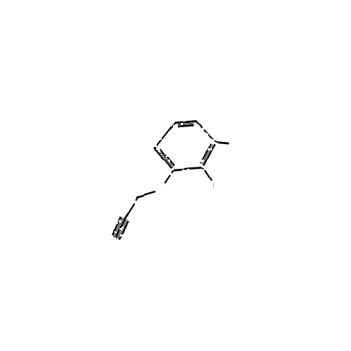 C#CCOc1cc[c]c(F)c1F